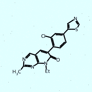 CCn1c(=O)c(-c2ccc(-c3cncs3)cc2Cl)cc2cnc(C)nc21